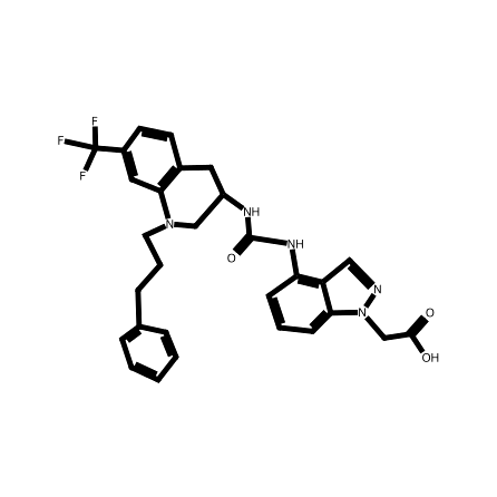 O=C(O)Cn1ncc2c(NC(=O)NC3Cc4ccc(C(F)(F)F)cc4N(CCCc4ccccc4)C3)cccc21